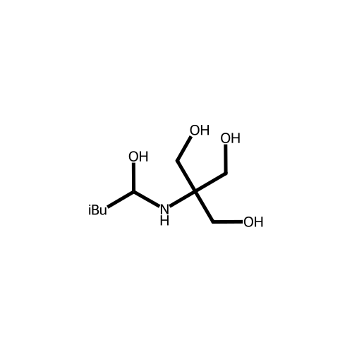 CCC(C)C(O)NC(CO)(CO)CO